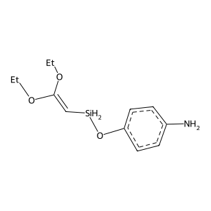 CCOC(=C[SiH2]Oc1ccc(N)cc1)OCC